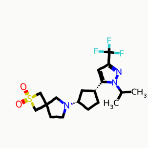 CC(C)n1nc(C(F)(F)F)cc1[C@@H]1CC[C@H](N2CCC3(C2)CS(=O)(=O)C3)C1